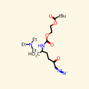 CC(C)(C)C(=O)OCCOC(=O)NC(CCC(=O)C=[N+]=[N-])C(=O)O.CCN(CC)CC